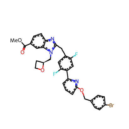 COC(=O)c1ccc2nc(Cc3cc(F)c(-c4cccc(OCc5ccc(Br)cc5)n4)cc3F)n(C[C@@H]3CCO3)c2c1